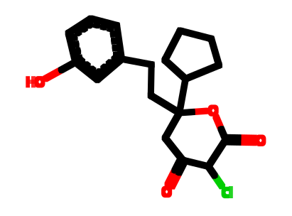 O=C1CC(CCc2cccc(O)c2)(C2CCCC2)OC(=O)C1Cl